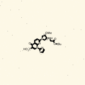 CO[C@H]1CN(c2ccc3c(=O)c(C(=O)O)cn(-c4nccs4)c3n2)C[C@@H]1NCC(=O)OC(C)(C)C